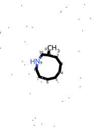 CC1CCCCCCCNC1